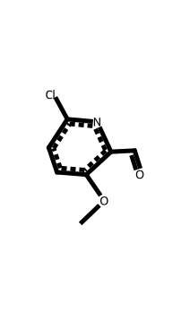 COc1ccc(Cl)nc1C=O